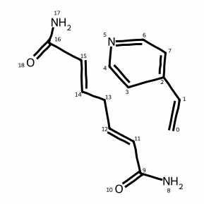 C=Cc1ccncc1.NC(=O)C=CCC=CC(N)=O